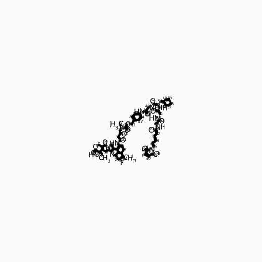 CC[C@@]1(O)C(=O)OCc2c1cc1n(c2=O)Cc2c-1nc1cc(F)c(C)c3c1c2[C@@H](NC(=O)CC(=O)CN(C)C(=O)OCc1ccc(NC(=O)CNC(=O)[C@H](Cc2ccccc2)NC(=O)CNC(=O)CNC(=O)CCCCCN2C(=O)C=CC2=O)cc1)CC3